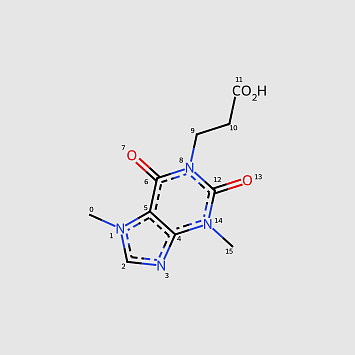 Cn1cnc2c1c(=O)n(CCC(=O)O)c(=O)n2C